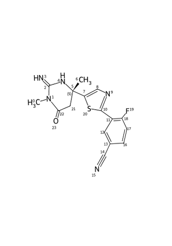 CN1C(=N)N[C@](C)(c2cnc(-c3cc(C#N)ccc3F)s2)CC1=O